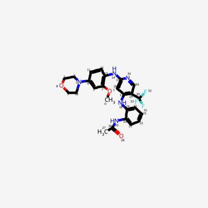 COc1cc(N2CCOCC2)ccc1Nc1cc(Nc2ccccc2NC(C)=O)c(C(F)(F)F)cn1